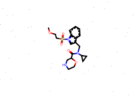 COCCS(=O)(=O)n1cc(CN(C(=O)C2CNCCO2)C2CC2)c2ccccc21